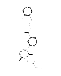 O=C(NCCc1ccccc1Cl)c1cc(-n2ncc(=O)n(CC(O)CO)c2=O)ccc1Cl